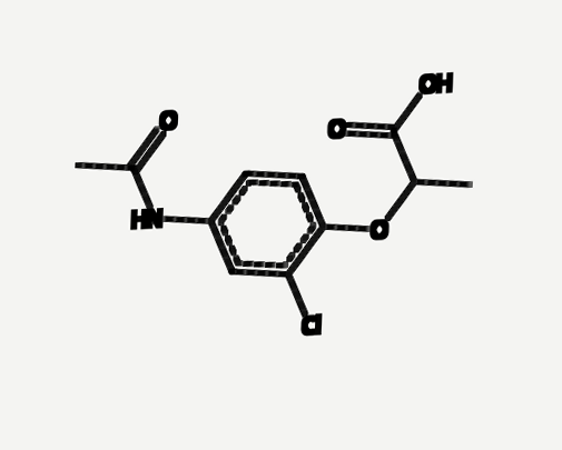 CC(=O)Nc1ccc(OC(C)C(=O)O)c(Cl)c1